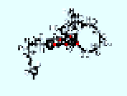 CC[C@H](C)[C@@H]1NC(=O)CNC(=O)C2Cc3c([nH]c4cc(OCc5ccc(NC(=O)[C@H](C)NC(=O)[C@@H](NC(=O)CCN6C(=O)CC(C)C6=O)C(C)C)cc5)ccc34)[S+]([O-])CC(NC(=O)CNC1=O)C(=O)N[C@@H](CC(N)=O)C(=O)N1C[C@H](O)CC1(C=O)N[C@@H]([C@@H](C)[C@@H](O)CO)C(=O)N2